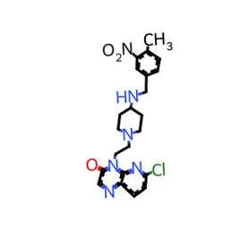 Cc1ccc(CNC2CCN(CCn3c(=O)cnc4ccc(Cl)nc43)CC2)cc1[N+](=O)[O-]